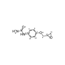 NC(=O)Nc1ccc(OCC2CO2)cc1